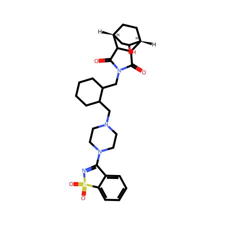 O=C1C2C(C(=O)N1CC1CCCCC1CN1CCN(C3=NS(=O)(=O)c4ccccc43)CC1)[C@H]1CC[C@@H]2CC1O